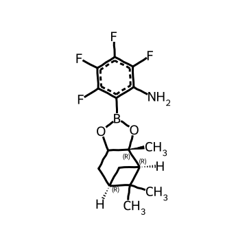 CC1(C)[C@H]2CC3OB(c4c(N)c(F)c(F)c(F)c4F)O[C@]3(C)[C@@H]1C2